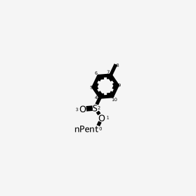 CCCCCOS(=O)c1ccc(C)cc1